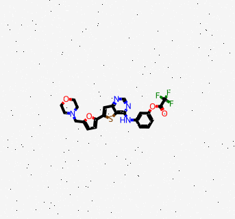 O=C(Oc1cccc(Nc2ncnc3cc(-c4ccc(CN5CCOCC5)o4)sc23)c1)C(F)(F)F